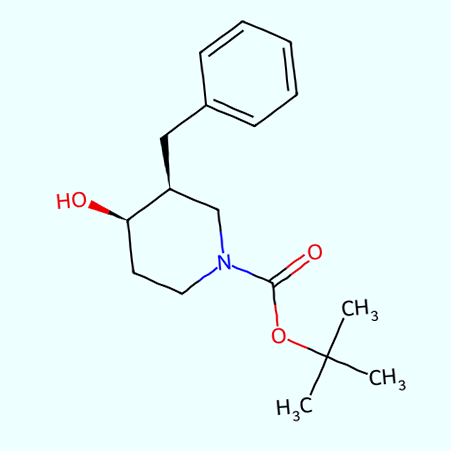 CC(C)(C)OC(=O)N1CC[C@@H](O)[C@@H](Cc2ccccc2)C1